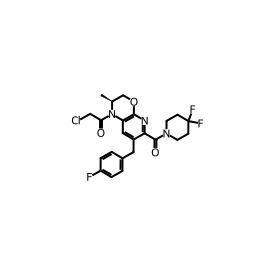 C[C@H]1COc2nc(C(=O)N3CCC(F)(F)CC3)c(Cc3ccc(F)cc3)cc2N1C(=O)CCl